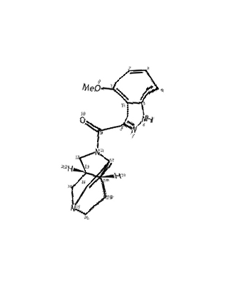 COc1cccc2[nH]nc(C(=O)N3C[C@H]4CN5C=C3[C@@H]4CC5)c12